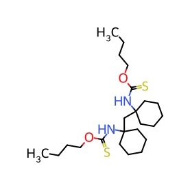 CCCCOC(=S)NC1(CC2(NC(=S)OCCCC)CCCCC2)CCCCC1